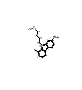 COc1ccc2c3ccnc(C)c3n(CCCCNC(C)=O)c2c1